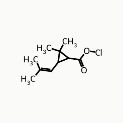 CC(C)=CC1C(C(=O)OCl)C1(C)C